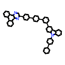 c1ccc(-c2ccc(-n3c4ccccc4c4cc(-c5cccc(-c6ccc(-c7ccc(-c8cnc9c%10ccccc%10c%10ccccc%10c9n8)cc7)cc6)c5)ccc43)cc2)cc1